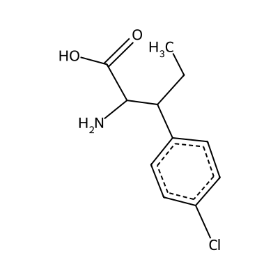 CCC(c1ccc(Cl)cc1)C(N)C(=O)O